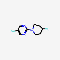 F[C]1CCN(c2ncc(F)cn2)CC1